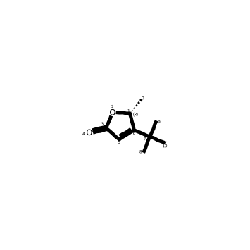 C[C@H]1OC(=O)C=C1C(C)(C)C